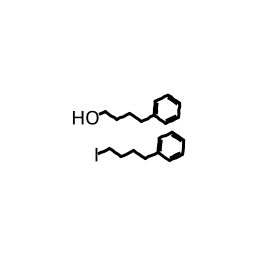 ICCCCc1ccccc1.OCCCCc1ccccc1